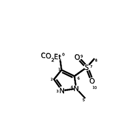 CCOC(=O)c1cnn(C)c1S(C)(=O)=O